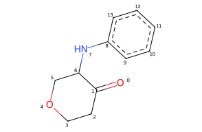 O=C1CCOCC1Nc1ccccc1